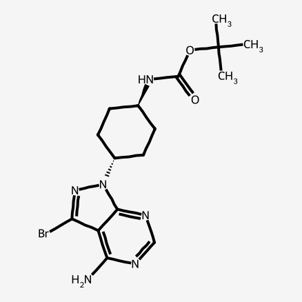 CC(C)(C)OC(=O)N[C@H]1CC[C@H](n2nc(Br)c3c(N)ncnc32)CC1